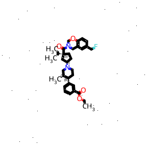 CCOC(=O)c1cccc([C@@H]2CCN([C@@H]3CC[C@@](C(=O)N4COc5ccc(CF)cc5C4)(C(C)C)C3)C[C@H]2C)c1